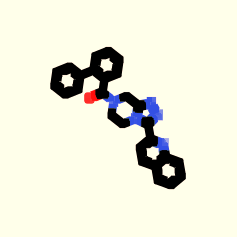 O=C(c1ccccc1-c1ccccc1)N1CCn2c(nnc2-c2ccc3ccccc3n2)C1